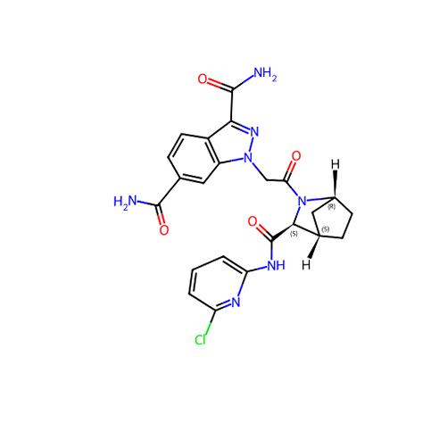 NC(=O)c1ccc2c(C(N)=O)nn(CC(=O)N3[C@@H]4CC[C@@H](C4)[C@H]3C(=O)Nc3cccc(Cl)n3)c2c1